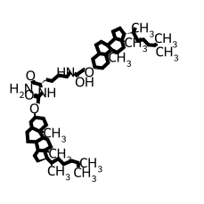 CC(C)CCCC(C)[C@H]1CCC2C3CCC4C[C@@H](OCC(O)NCCCC[C@H](NC(=O)CO[C@H]5CC[C@@]6(C)C(CCC7C6CC[C@@]6(C)C7CC[C@@H]6[C@@H](C)CCCC(C)C)C5)C(N)=O)CCC4(C)C3CC[C@@]21C